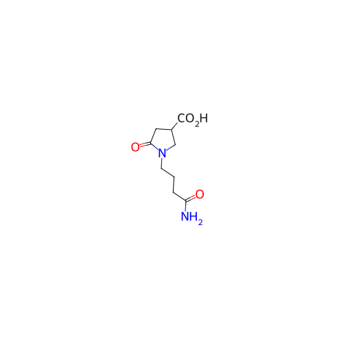 NC(=O)CCCN1CC(C(=O)O)CC1=O